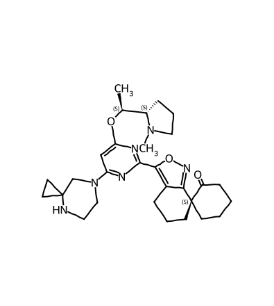 C[C@H](Oc1cc(N2CCNC3(CC3)C2)nc(-c2onc3c2CCC[C@@]32CCCCC2=O)n1)[C@@H]1CCCN1C